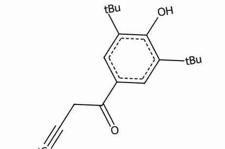 C#CCC(=O)c1cc(C(C)(C)C)c(O)c(C(C)(C)C)c1